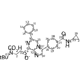 CC(C)(C)N(CC[S+]([O-])c1nc(-c2ccccc2)cn2c(-c3ccc(C(=O)NC4CC4)cc3)cnc12)C(=O)O